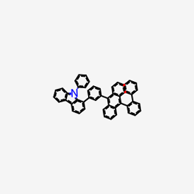 c1ccc(-c2ccccc2-c2c3ccccc3c(-c3cccc(-c4cccc5c6ccccc6n(-c6ccccc6)c45)c3)c3ccccc23)cc1